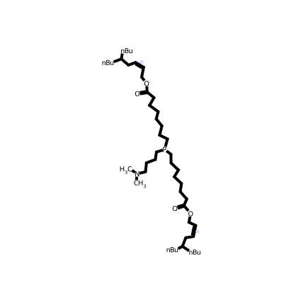 CCCCC(C/C=C\COC(=O)CCCCCCCP(CCCCCCCC(=O)OC/C=C\CC(CCCC)CCCC)CCCCN(C)C)CCCC